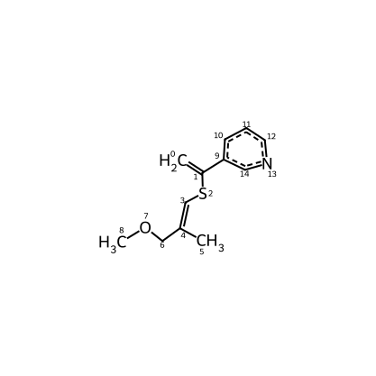 C=C(S/C=C(\C)COC)c1cccnc1